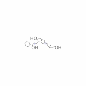 CC(C)(C/C=C1/CC2CC(O)C(/C=C/C(O)C3CCCCC3)C2C1)CCO